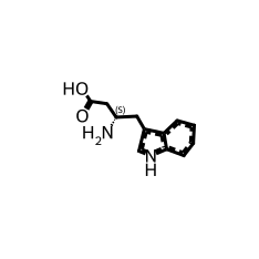 N[C@H](CC(=O)O)Cc1c[nH]c2ccccc12